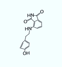 O=C1NC(=O)c2c(NCCc3ccc(O)cc3)cccc21